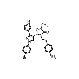 C[C@@H]1O[C@H](c2cn(-c3ccc(Br)cc3)nc2-c2cc[nH]c2)N(CCc2ccc(N)cc2)C1=O